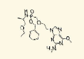 CCOC[C@@H](C)NP(=O)(COCCn1cnc2c(OC)nc(N)nc21)OCc1ccccc1